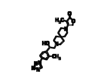 CC1=C(N2CCC3(CCN(CC(O)c4ccc(-n5cnnn5)cc4C)CC3)CC2)COC1=O